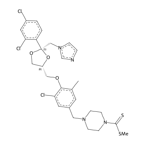 CSC(=S)N1CCN(Cc2cc(C)c(OC[C@@H]3CO[C@@](Cn4ccnc4)(c4ccc(Cl)cc4Cl)O3)c(Cl)c2)CC1